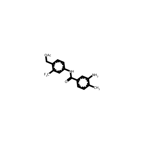 CC(=O)OCc1ccc(NC(=O)c2ccc(C)c(N)c2)cc1C(F)(F)F